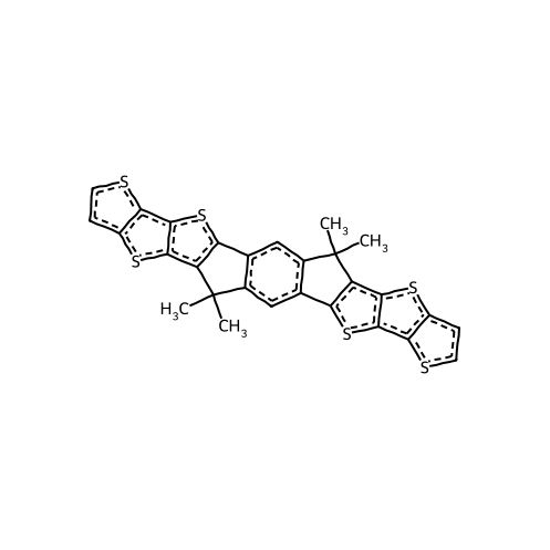 CC1(C)c2cc3c(cc2-c2sc4c(sc5ccsc54)c21)C(C)(C)c1c-3sc2c1sc1ccsc12